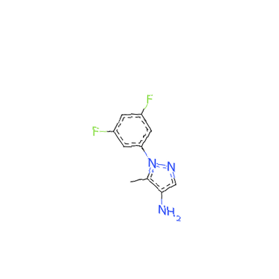 Cc1c(N)cnn1-c1cc(F)cc(F)c1